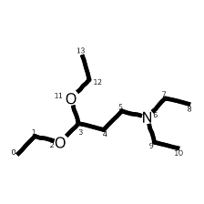 CCOC(CCN(CC)CC)OCC